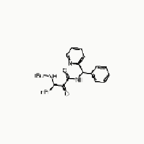 CCCC(NC(C)(C)C)C(=O)C(=O)NC(c1ccccc1)c1ccccn1